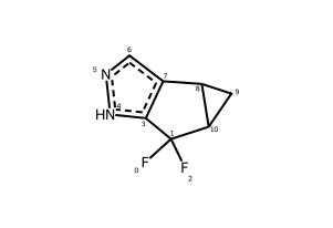 FC1(F)c2[nH]ncc2C2CC21